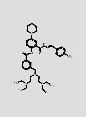 CCN(CC)CCN(CCN(CC)CC)Cc1cccc(C(=O)Nc2ccc(N3CCCCC3)cc2C(=O)NN=Cc2ccc(C)cc2)c1